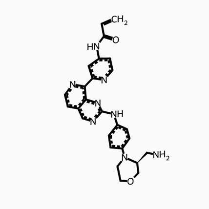 C=CC(=O)Nc1ccnc(-c2nccc3cnc(Nc4ccc(N5CCOC[C@@H]5CN)cc4)nc23)c1